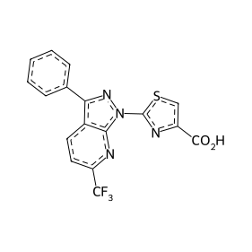 O=C(O)c1csc(-n2nc(-c3ccccc3)c3ccc(C(F)(F)F)nc32)n1